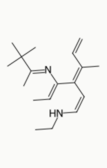 C=C/C(C)=C(/C=C\NCC)C(=C\C)\N=C(/C)C(C)(C)C